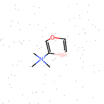 C[N+](C)(C)C1=COC=CB1